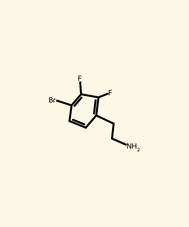 NCCc1ccc(Br)c(F)c1F